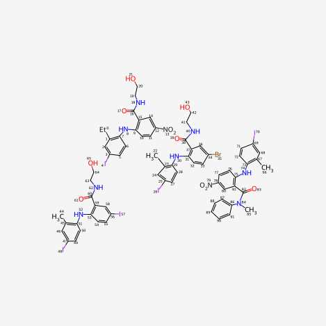 CCc1cc(I)ccc1Nc1ccc([N+](=O)[O-])cc1C(=O)NCCO.Cc1cc(I)ccc1Nc1ccc(Br)cc1C(=O)NCCO.Cc1cc(I)ccc1Nc1ccc(I)cc1C(=O)NCCO.Cc1cc(I)ccc1Nc1ccc([N+](=O)[O-])cc1C(=O)N(C)c1ccccc1